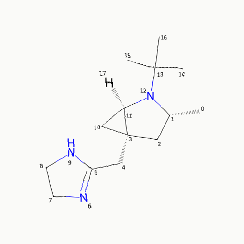 C[C@@H]1C[C@@]2(CC3=NCCN3)C[C@H]2N1C(C)(C)C